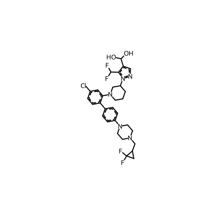 OC(O)c1cnn(C2CCCN(c3cc(Cl)ccc3-c3ccc(N4CCN(CC5CC5(F)F)CC4)cc3)C2)c1C(F)F